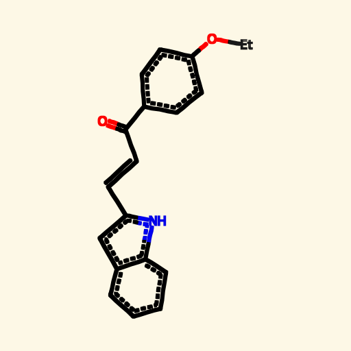 CCOc1ccc(C(=O)/C=C/c2cc3ccccc3[nH]2)cc1